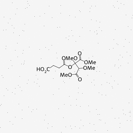 COC(=O)C(OC)C(OC)(OC(=O)CCC(=O)O)C(=O)OC